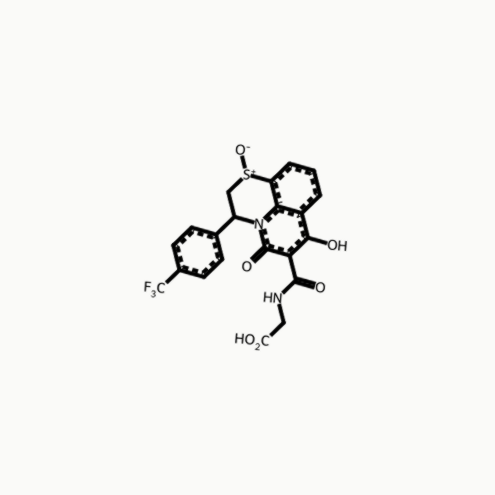 O=C(O)CNC(=O)c1c(O)c2cccc3c2n(c1=O)C(c1ccc(C(F)(F)F)cc1)C[S+]3[O-]